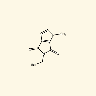 CCC(C)CN1C(=O)c2ccn(C)c2C1=O